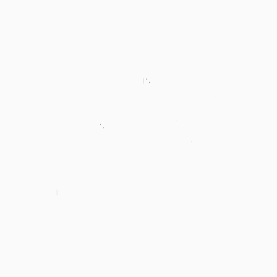 CC1CCN(Cc2cc(=O)c(O)c[nH]2)CC1